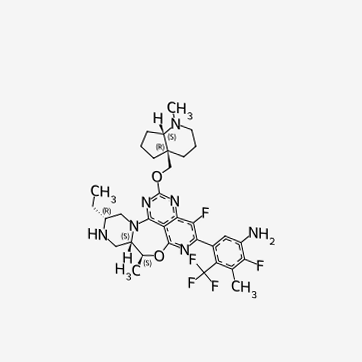 CC[C@@H]1CN2c3nc(OC[C@@]45CCC[C@@H]4N(C)CCC5)nc4c(F)c(-c5cc(N)c(F)c(C)c5C(F)(F)F)nc(c34)O[C@@H](C)[C@@H]2CN1